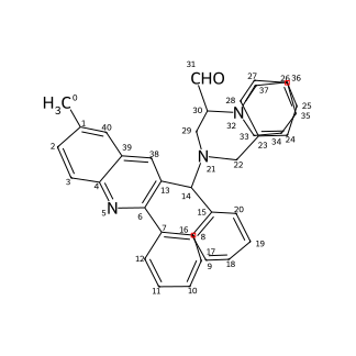 Cc1ccc2nc(-c3ccccc3)c(C(c3ccccc3)N(Cc3ccccc3)CC(C=O)N3CCCCC3)cc2c1